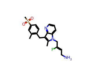 Cc1cc(S(C)(=O)=O)ccc1Cc1c(C)n(C/C(F)=C/CN)c2cccnc12